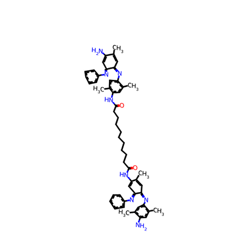 CC1=CC(=N/c2cc(C)c(NC(=O)CCCCCCCCCC(=O)NC3=CC(=N\c4ccccc4)/C(=N\c4cc(C)c(N)cc4C)C=C3C)cc2C)/C(=N/c2ccccc2)C=C1N